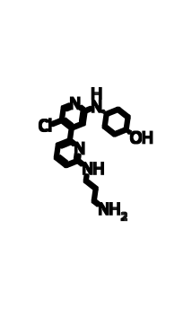 NCCCNc1cccc(-c2cc(N[C@H]3CC[C@H](O)CC3)ncc2Cl)n1